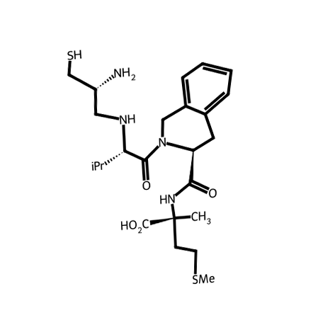 CSCC[C@@](C)(NC(=O)[C@@H]1Cc2ccccc2CN1C(=O)[C@@H](NC[C@@H](N)CS)C(C)C)C(=O)O